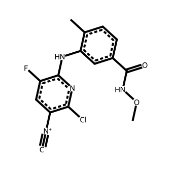 [C-]#[N+]c1cc(F)c(Nc2cc(C(=O)NOC)ccc2C)nc1Cl